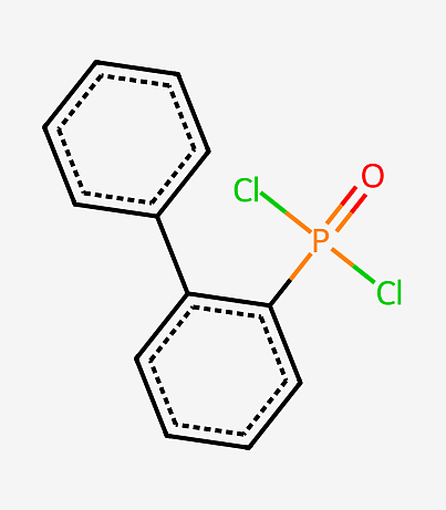 O=P(Cl)(Cl)c1ccccc1-c1ccccc1